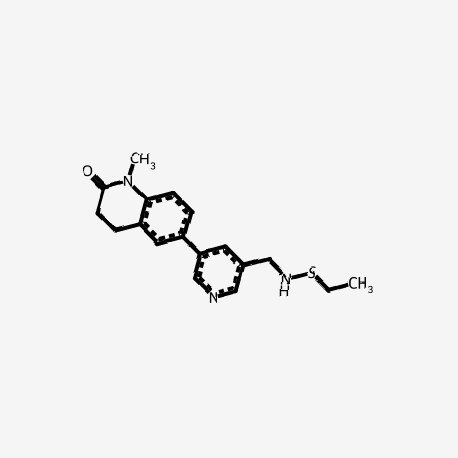 CCSNCc1cncc(-c2ccc3c(c2)CCC(=O)N3C)c1